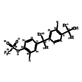 CCC(O)(CC)c1ccc(C(CC)(CC)c2ccc(OS(=O)(=O)C(F)(F)F)c(C)c2)cc1C